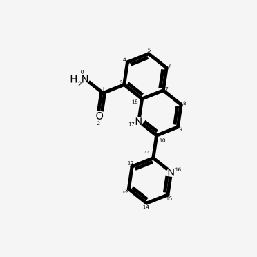 NC(=O)c1cccc2ccc(-c3ccccn3)nc12